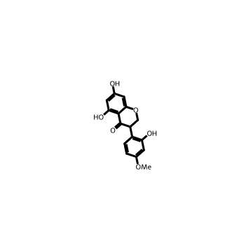 COc1ccc(C2COc3cc(O)cc(O)c3C2=O)c(O)c1